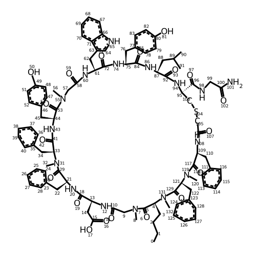 CCCC[C@H]1C(=O)N(C)CC(=O)N[C@@H](CC(=O)O)C(=O)N[C@@H](Cc2ccccc2)C(=O)N(C)[C@@H](Cc2ccccc2)C(=O)N[C@@H](Cc2ccc(O)cc2)C(=O)N(C)CC(=O)N[C@@H](Cc2c[nH]c3ccccc23)C(=O)N[C@@H](Cc2ccc(O)cc2)C(=O)N[C@@H](CC(C)C)C(=O)N[C@H](C(=O)NCC(N)=O)CSCC(=O)N[C@@H](Cc2ccccc2)C(=O)N(C)[C@@H](Cc2ccccc2)C(=O)N1C